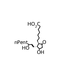 CCCCCC(O)/C=C/[C@H]1C(O)CC(=O)[C@@H]1CCCCCCC(=O)O